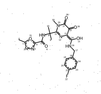 Cc1nnc(C(=O)NC(C)(C)C2=NC(=C(O)NCc3ccc(F)cc3)C(=O)C(=O)N2C)o1